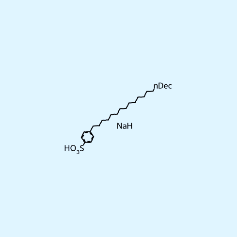 CCCCCCCCCCCCCCCCCCCCCCCCc1ccc(S(=O)(=O)O)cc1.[NaH]